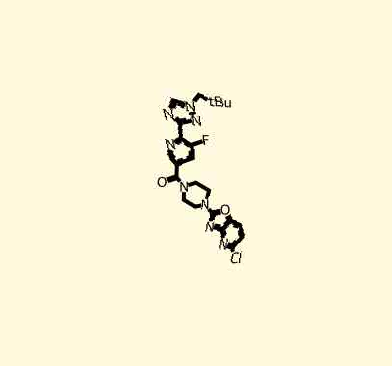 CC(C)(C)Cn1cnc(-c2ncc(C(=O)N3CCN(c4nc5nc(Cl)ccc5o4)CC3)cc2F)n1